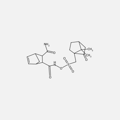 CC1(C)C2CCC1(CS(=O)(=O)ONC(=O)C1C3C=CC(C3)C1C(N)=O)C(=O)C2